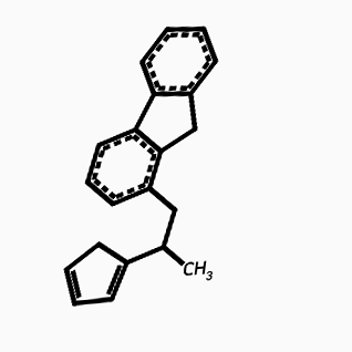 CC(Cc1cccc2c1Cc1ccccc1-2)C1=CC=CC1